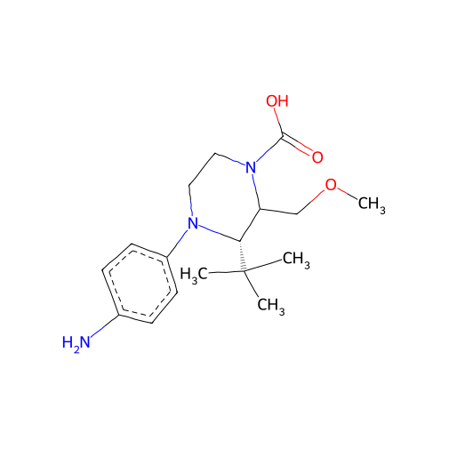 COCC1[C@H](C(C)(C)C)N(c2ccc(N)cc2)CCN1C(=O)O